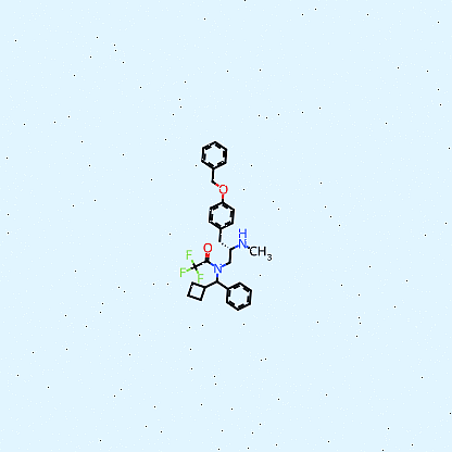 CN[C@@H](Cc1ccc(OCc2ccccc2)cc1)CN(C(=O)C(F)(F)F)C(c1ccccc1)C1CCC1